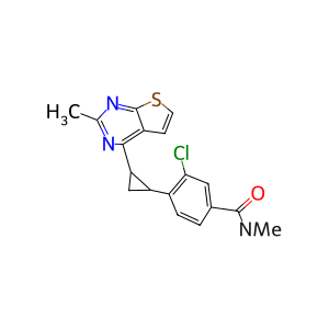 CNC(=O)c1ccc(C2CC2c2nc(C)nc3sccc23)c(Cl)c1